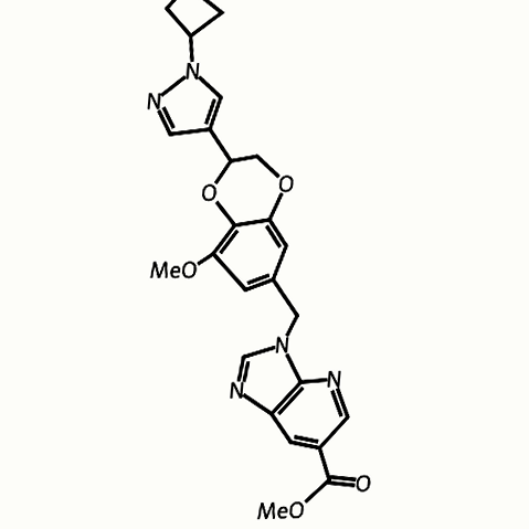 COC(=O)c1cnc2c(c1)ncn2Cc1cc(OC)c2c(c1)OCC(c1cnn(C3CCC3)c1)O2